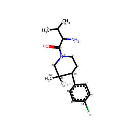 CC(C)C(N)C(=O)N1CCC(c2ccc(F)cc2)C(C)(C)C1